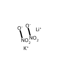 O=[N+]([O-])[O-].O=[N+]([O-])[O-].[K+].[Li+]